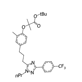 CCCn1nc(-c2ccc(C(F)(F)F)cc2)nc1CCCc1ccc(OC(C)(C)C(=O)OC(C)(C)C)c(C)c1